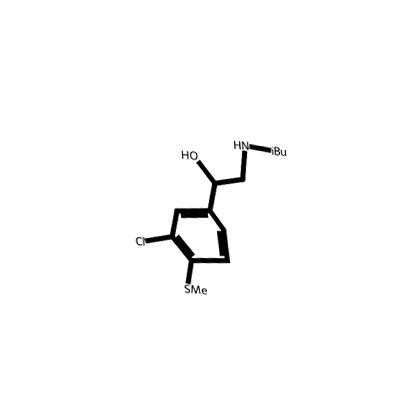 CCC(C)NCC(O)c1ccc(SC)c(Cl)c1